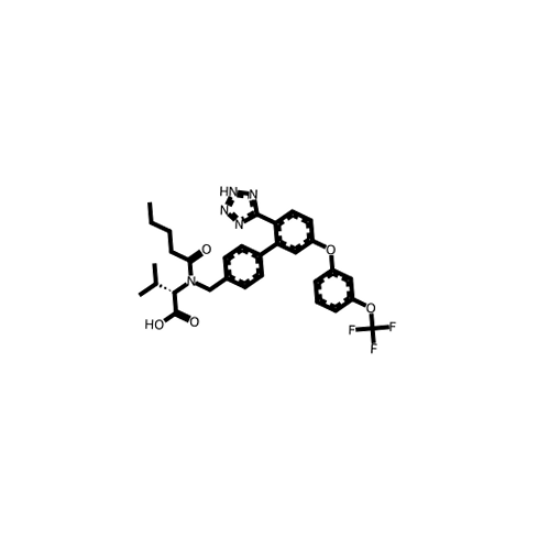 CCCCC(=O)N(Cc1ccc(-c2cc(Oc3cccc(OC(F)(F)F)c3)ccc2-c2nn[nH]n2)cc1)[C@H](C(=O)O)C(C)C